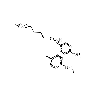 Cc1ccc(N)cc1.Cc1ccc(N)cc1.O=C(O)CCCCC(=O)O